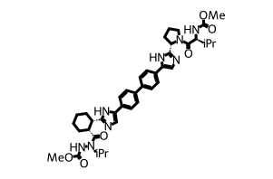 COC(=O)N[C@H](C(=O)N1CCC[C@H]1c1ncc(-c2ccc(-c3ccc(-c4cnc([C@H]5CCCC[C@H]5C(=O)N(NC(=O)OC)C(C)C)[nH]4)cc3)cc2)[nH]1)C(C)C